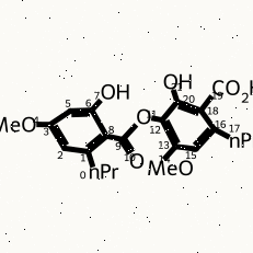 CCCc1cc(OC)cc(O)c1C(=O)Oc1c(OC)cc(CCC)c(C(=O)O)c1O